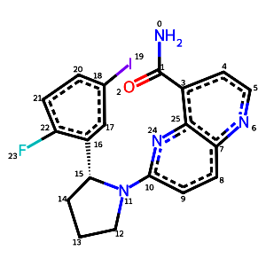 NC(=O)c1ccnc2ccc(N3CCC[C@@H]3c3cc(I)ccc3F)nc12